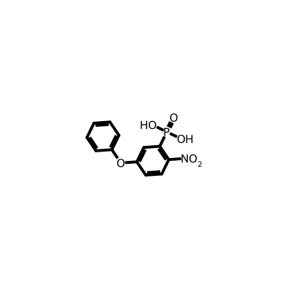 O=[N+]([O-])c1ccc(Oc2ccccc2)cc1P(=O)(O)O